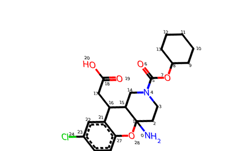 NC12CCN(C(=O)OC3CCCCC3)CC1C(CC(=O)O)c1cc(Cl)ccc1O2